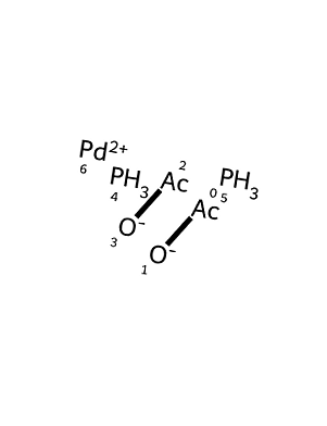 CC(=O)[O-].CC(=O)[O-].P.P.[Pd+2]